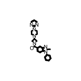 Cc1nc2cc(C(=O)N3CC(N4CCN(c5ncccn5)CC4)C3)ccc2n1-c1ccccc1